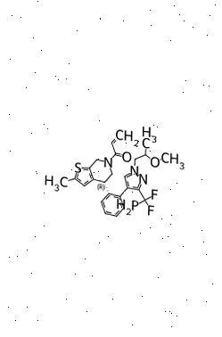 C=CC(=O)N1Cc2sc(C)cc2[C@@H](c2ccccc2-c2cn(CC(C)OC)nc2C(F)(F)P)C1